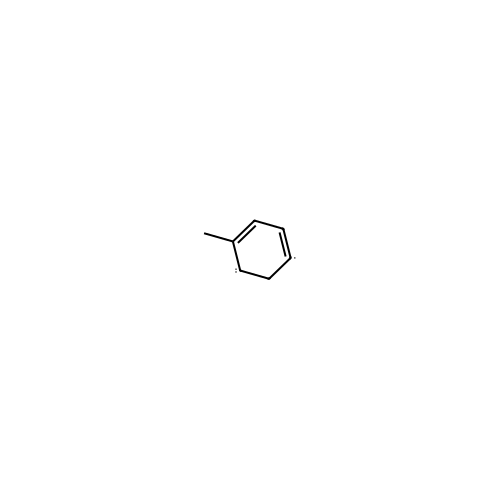 CC1=CC=[C]C[C]1